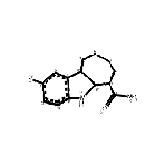 NC(=O)C1CCCCC2c3cc(Cl)ccc3NC12